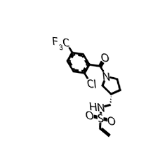 C=CS(=O)(=O)NC[C@H]1CCN(C(=O)c2cc(C(F)(F)F)ccc2Cl)C1